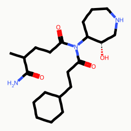 CC(C[CH]C(=O)N(C(=O)CCC1CCCCC1)C1CCCNC[C@@H]1O)C(N)=O